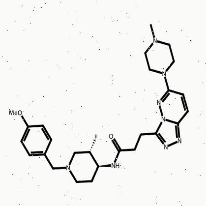 COc1ccc(CN2CC[C@H](NC(=O)CCc3nnc4ccc(N5CCN(C)CC5)nn34)[C@@H](F)C2)cc1